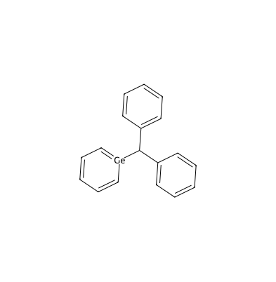 C1=C[CH]=[Ge]([CH](c2ccccc2)c2ccccc2)[CH]=C1